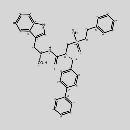 O=C(N[C@@H](Cc1c[nH]c2ccccc12)C(=O)O)[C@@H](Cc1ccc(-c2ccccc2)cc1)CP(=O)(O)CCc1ccccc1